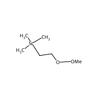 COOCC[Si](C)(C)C